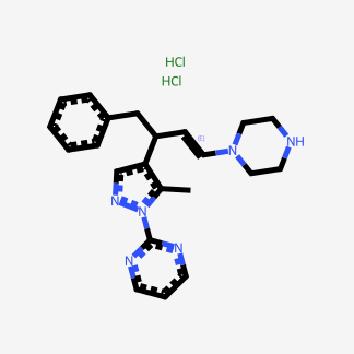 Cc1c(C(/C=C/N2CCNCC2)Cc2ccccc2)cnn1-c1ncccn1.Cl.Cl